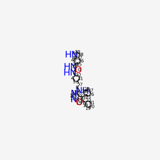 O=C(Nc1ccc(CCNc2ncnc3oc(-c4ccccc4)c(-c4ccccc4)c23)cc1)Nc1ccc2cc[nH]c2c1